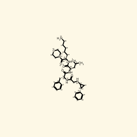 CC(C)C[C@@H](NC(=O)[C@@H](Cc1ccccc1)NC(=O)CNC1C[C@@H]1c1ccccc1)C(=O)N[C@H](CCCCCN)C(=O)N1CCOCC1